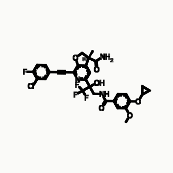 COc1cc(C(=O)NCC(O)(c2cc3c(c(C#Cc4ccc(F)c(Cl)c4)n2)OC[C@]3(C)C(N)=O)C(F)(F)F)ccc1OC1CC1